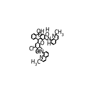 Cc1ccc2cccc(NCc3c4oc5c(CNc6cccc7ccc(C)nc67)c(O)ccc5c(-c5ccccc5C(=O)O)c-4cc(Cl)c3=O)c2n1